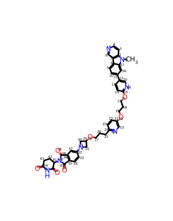 Cn1c2ccncc2c2ccc(-c3ccc(OCCCOc4ccc(CCCOC5CN(c6ccc7c(c6)C(=O)N(C6CCC(=O)NC6=O)C7=O)C5)nc4)nc3)cc21